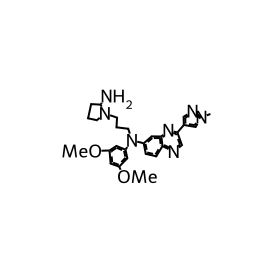 COc1cc(OC)cc(N(CCCN2CCC[C@H]2N)c2ccc3ncc(-c4cnn(C)c4)nc3c2)c1